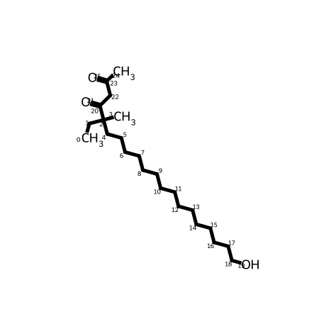 CCC(C)(CCCCCCCCCCCCCCCO)C(=O)CC(C)=O